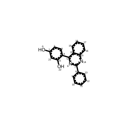 Oc1ccc(-c2nc(-c3ccccc3)nc3ccccc23)c(O)c1